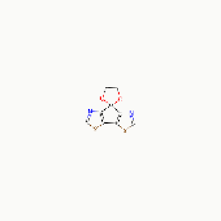 c1nc2c(s1)-c1scnc1C21OCCO1